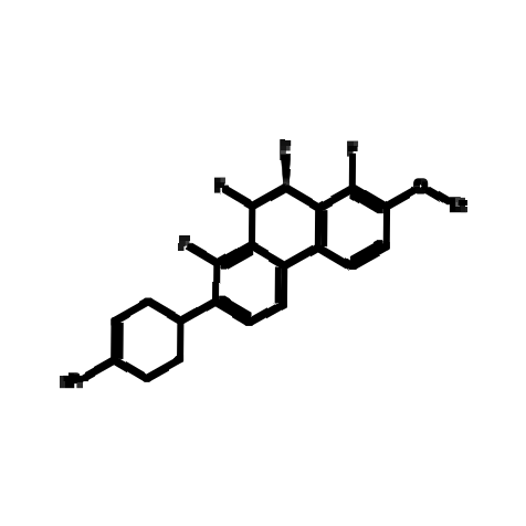 CCCC1=CCC(c2ccc3c(c2F)C(F)[C@@H](F)c2c-3ccc(OCC)c2F)CC1